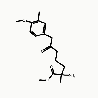 COC(=O)C(C)(N)CCCC(=O)Cc1ccc(OC)c(C)c1